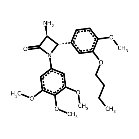 CCCCOc1cc([C@H]2[C@H](N)C(=O)N2c2cc(OC)c(OC)c(OC)c2)ccc1OC